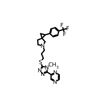 Cn1c(SCCCN2CCC3(CC3c3ccc(C(F)(F)F)cc3)C2)nnc1-c1cnccn1